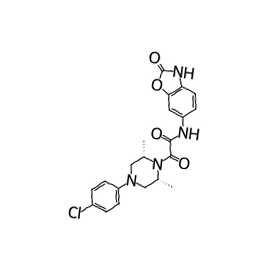 C[C@@H]1CN(c2ccc(Cl)cc2)C[C@H](C)N1C(=O)C(=O)Nc1ccc2[nH]c(=O)oc2c1